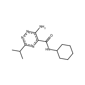 CC(C)c1nnc(N)c(C(=O)NC2CCCCC2)n1